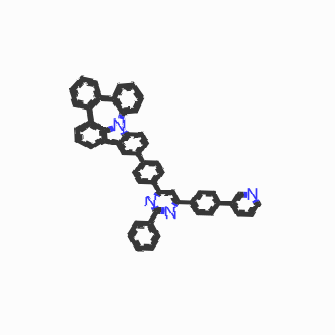 c1ccc(-c2nc(-c3ccc(-c4cccnc4)cc3)cc(-c3ccc(-c4ccc5c(c4)c4cccc6c4n5-c4ccccc4-c4ccccc4-6)cc3)n2)cc1